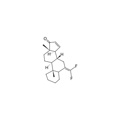 C[C@]12CCCCC1C(=C(F)F)C[C@@H]1[C@@H]2CC[C@]2(C)C(=O)C=C[C@@H]12